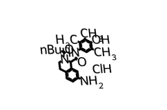 CCCCC(=O)N1CCc2ccc(N)cc2C1C(=O)Nc1cc(C)c(O)c(C)c1C.Cl